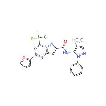 O=C(Nc1c(C(=O)O)cnn1-c1ccccc1)c1cc2nc(-c3ccco3)cc(C(F)(F)Cl)n2n1